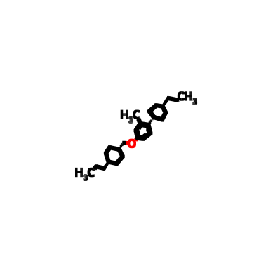 CCC[C@H]1CC[C@H](COc2ccc([C@H]3CC[C@H](CCC)CC3)c(C)c2)CC1